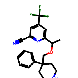 CC(OCC1(c2ccccc2)CCNCC1)c1cc(C(F)(F)F)cc(C#N)n1